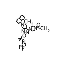 C=CC(=O)N1CCN(c2nc(OCC3(CN4CCC(F)(F)C4)CC3)nc3c2CCN(c2cccc4cccc(C)c24)C3)CC1